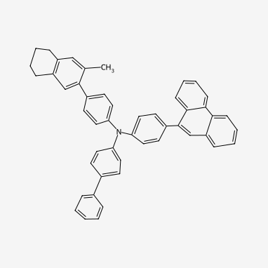 Cc1cc2c(cc1-c1ccc(N(c3ccc(-c4ccccc4)cc3)c3ccc(-c4cc5ccccc5c5ccccc45)cc3)cc1)CCCC2